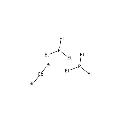 CCP(CC)CC.CCP(CC)CC.[Br][Co][Br]